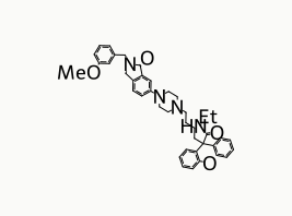 CCNC(=O)C1(CCCCN2CCN(c3ccc4c(c3)C(=O)N(Cc3cccc(OC)c3)C4)CC2)c2ccccc2Oc2ccccc21